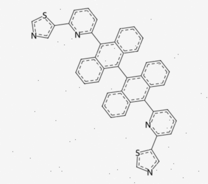 c1cc(-c2cncs2)nc(-c2c3ccccc3c(-c3c4ccccc4c(-c4cccc(-c5cncs5)n4)c4ccccc34)c3ccccc23)c1